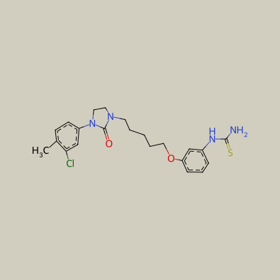 Cc1ccc(N2CCN(CCCCCOc3cccc(NC(N)=S)c3)C2=O)cc1Cl